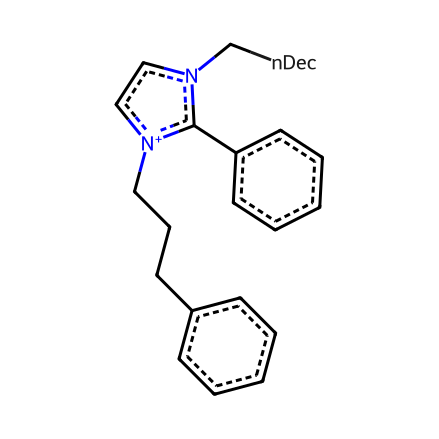 CCCCCCCCCCCn1cc[n+](CCCc2ccccc2)c1-c1ccccc1